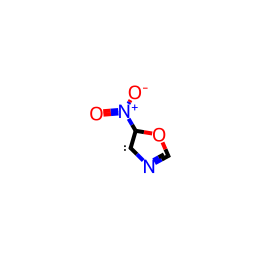 O=[N+]([O-])C1[C]N=CO1